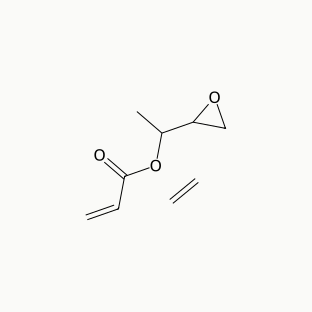 C=C.C=CC(=O)OC(C)C1CO1